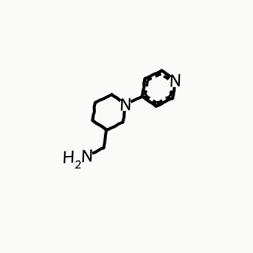 NCC1CCCN(c2ccncc2)C1